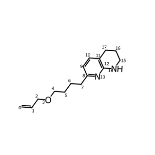 C=CCOCCCCc1ccc2c(n1)NCCC2